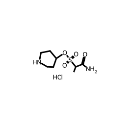 CC(C(N)=O)S(=O)(=O)OC1CCNCC1.Cl